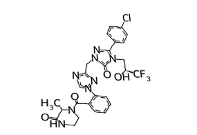 CC1C(=O)NCCN1C(=O)c1ccccc1-n1cnc(Cn2nc(-c3ccc(Cl)cc3)n(C[C@H](O)C(F)(F)F)c2=O)n1